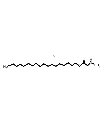 CCCCCCCCCCCCCCCCCCOC(=O)CNC.[K]